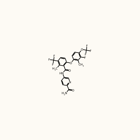 Cc1c(Oc2ccc(C(F)(F)F)c(C)c2C(=O)Nc2ccc(C(N)=O)nc2)ccc(OC(F)(F)F)c1F